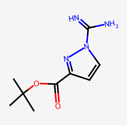 CC(C)(C)OC(=O)c1ccn(C(=N)N)n1